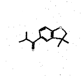 CC(C)C(=O)c1ccc2c(c1)C(C)(C)CO2